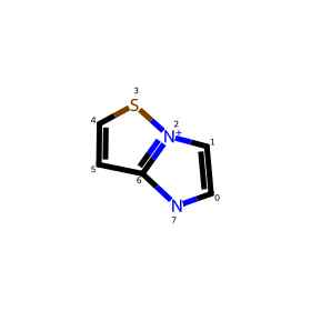 C1=C[n+]2sccc2[N]1